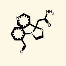 NC(=O)CC1(c2ccncc2)SC=CN1c1ccccc1C=O